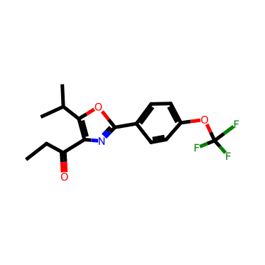 CCC(=O)c1nc(-c2ccc(OC(F)(F)F)cc2)oc1C(C)C